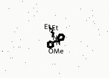 CCN(CC)CCCn1c(-c2cccc(OC)c2)nc2ccccc21